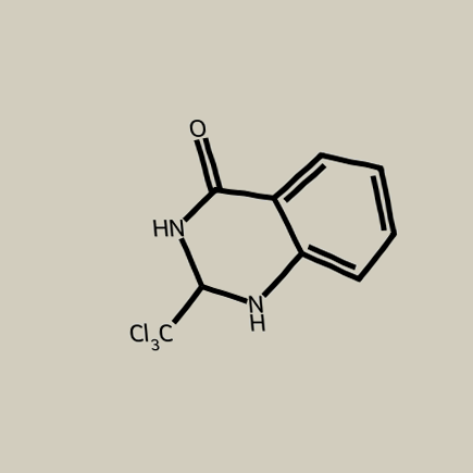 O=C1NC(C(Cl)(Cl)Cl)Nc2ccccc21